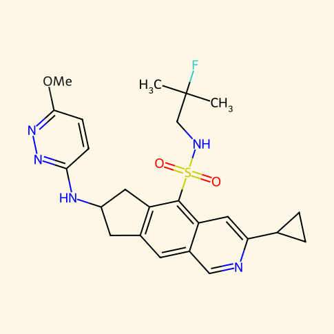 COc1ccc(NC2Cc3cc4cnc(C5CC5)cc4c(S(=O)(=O)NCC(C)(C)F)c3C2)nn1